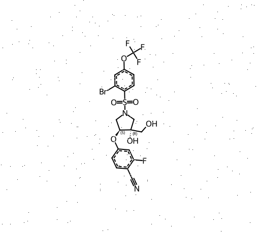 N#Cc1ccc(O[C@H]2CN(S(=O)(=O)c3ccc(OC(F)(F)F)cc3Br)C[C@@]2(O)CO)cc1F